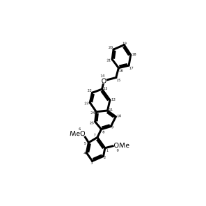 COc1cccc(OC)c1-c1ccc2cc(OCc3ccccc3)ccc2c1